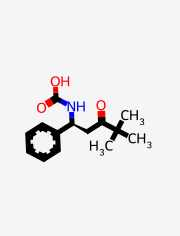 CC(C)(C)C(=O)C[C@H](NC(=O)O)c1ccccc1